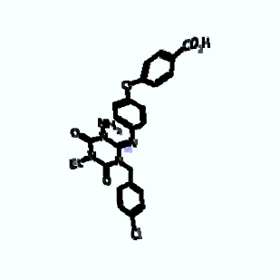 CCn1c(=O)n(N)/c(=N\c2ccc(Oc3ccc(C(=O)O)cc3)cc2)n(Cc2ccc(Cl)cc2)c1=O